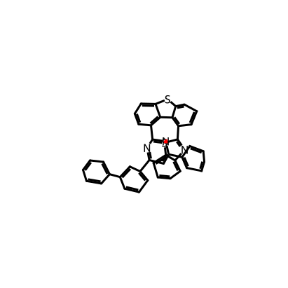 c1ccc(-c2cccc(-c3cc(-c4ccccc4)nc(-c4cccc5sc6cccc(-c7nc8ccccc8s7)c6c45)n3)c2)cc1